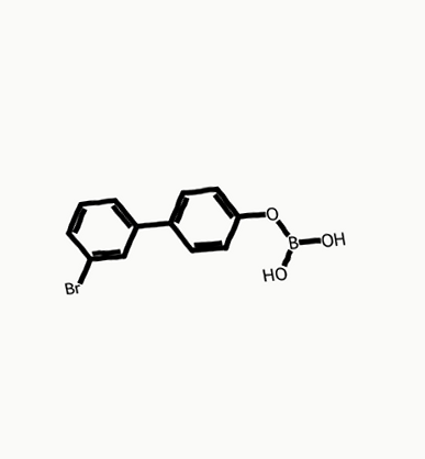 OB(O)Oc1ccc(-c2cccc(Br)c2)cc1